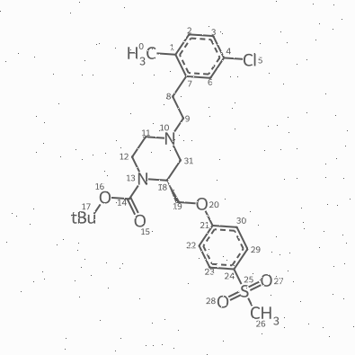 Cc1ccc(Cl)cc1CCN1CCN(C(=O)OC(C)(C)C)[C@H](COc2ccc(S(C)(=O)=O)cc2)C1